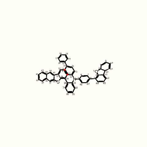 C1=CC2Oc3c(-c4ccc(N(c5ccc(-c6ccccc6)cc5)c5ccccc5-c5cccc6c5oc5cc7ccccc7cc56)cc4)cccc3C2C=C1